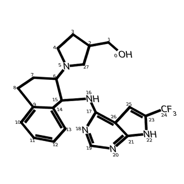 OCC1CCN(C2CCc3ccccc3C2Nc2ncnc3[nH]c(C(F)(F)F)cc23)C1